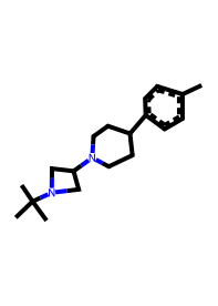 Cc1ccc(C2CCN(C3CN(C(C)(C)C)C3)CC2)cc1